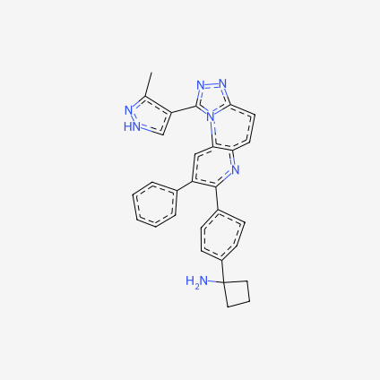 Cc1n[nH]cc1-c1nnc2ccc3nc(-c4ccc(C5(N)CCC5)cc4)c(-c4ccccc4)cc3n12